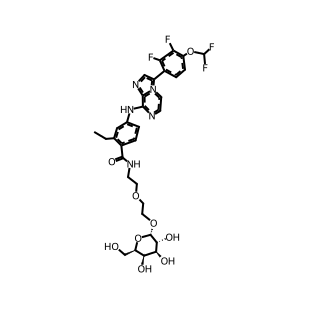 CCc1cc(Nc2nccn3c(-c4ccc(OC(F)F)c(F)c4F)cnc23)ccc1C(=O)NCCOCCO[C@H]1O[C@H](CO)[C@H](O)[C@H](O)[C@H]1O